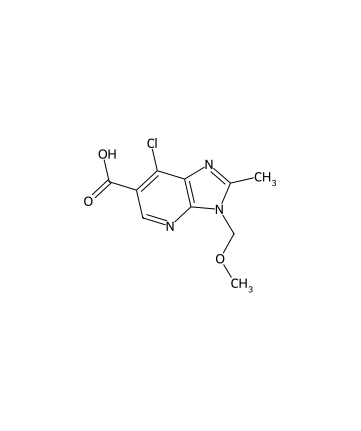 COCn1c(C)nc2c(Cl)c(C(=O)O)cnc21